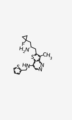 Cc1c(C[C@H](N)CC2(F)CC2)sc2c(NCc3cccs3)cnnc12